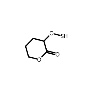 O=C1OCCCC1OS